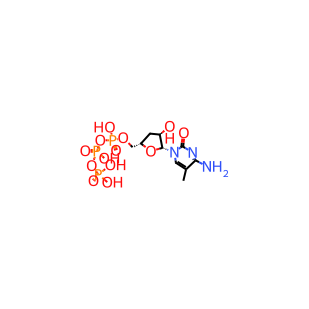 Cc1cn([C@@H]2O[C@H](COP(=O)(O)OP(=O)(O)OP(=O)(O)O)C[C@H]2O)c(=O)nc1N